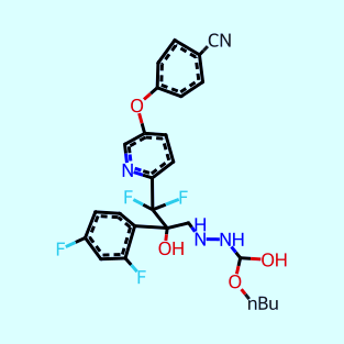 CCCCOC(O)NNCC(O)(c1ccc(F)cc1F)C(F)(F)c1ccc(Oc2ccc(C#N)cc2)cn1